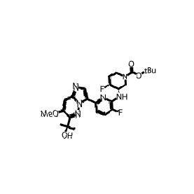 COc1cc2ncc(-c3ccc(F)c(N[C@H]4CN(C(=O)OC(C)(C)C)CC[C@@H]4F)n3)n2nc1C(C)(C)O